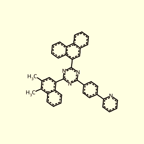 Cc1cc(-c2nc(-c3ccc(-c4ccccn4)cc3)nc(-c3cc4ccccc4c4ccccc34)n2)c2ccccc2c1C